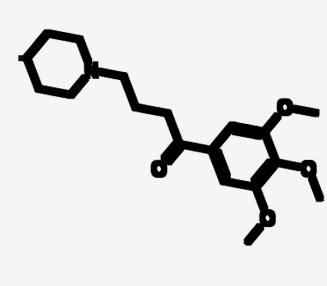 COc1cc(C(=O)CCCN2CC[CH]CC2)cc(OC)c1OC